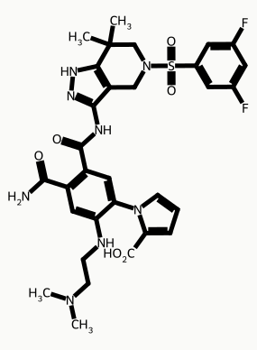 CN(C)CCNc1cc(C(N)=O)c(C(=O)Nc2n[nH]c3c2CN(S(=O)(=O)c2cc(F)cc(F)c2)CC3(C)C)cc1-n1cccc1C(=O)O